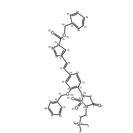 C[Si](C)(C)CCN1C(=O)CN(c2ccc(C=Cc3cnn(C(=O)OCc4ccccc4)c3)cc2OCc2ccccc2)S1(=O)=O